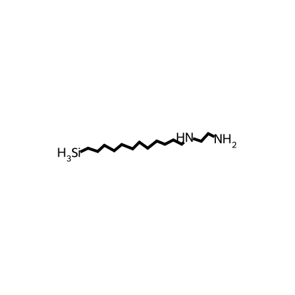 NCCNCCCCCCCCCCCC[SiH3]